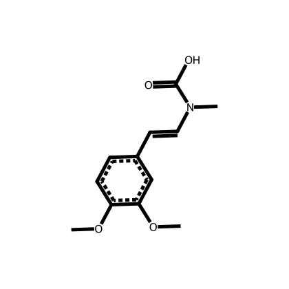 COc1ccc(/C=C/N(C)C(=O)O)cc1OC